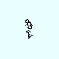 Cc1c[nH]c(-c2noc([C@H]3CC[C@@H]4CCc5ccccc5C(=O)N4C3)n2)c1